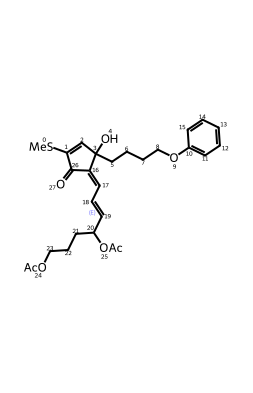 CSC1=CC(O)(CCCCOc2ccccc2)C(=C/C=C/C(CCCOC(C)=O)OC(C)=O)C1=O